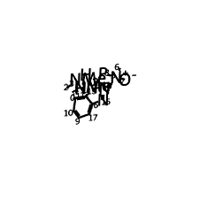 CNC.CNC.C[N+](C)([O-])P.c1ccc2[nH]nnc2c1